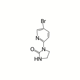 O=C1NCCN1c1ccc(Br)cn1